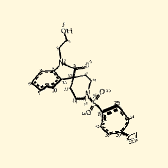 O=C1N(CCO)c2ccccc2C12CCN(S(=O)(=O)c1ccc(Cl)cc1)CC2